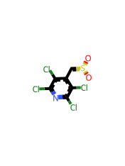 O=S(=O)=Cc1c(Cl)c(Cl)nc(Cl)c1Cl